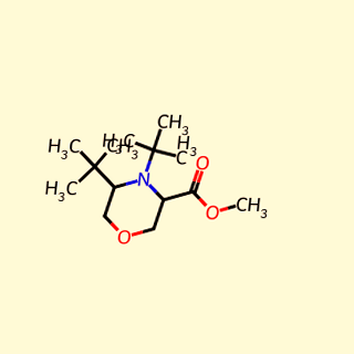 COC(=O)C1COCC(C(C)(C)C)N1C(C)(C)C